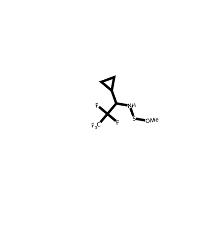 COSNC(C1CC1)C(F)(F)C(F)(F)F